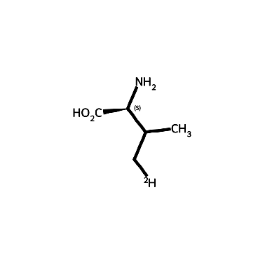 [2H]CC(C)[C@H](N)C(=O)O